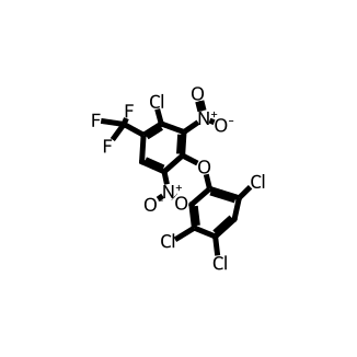 O=[N+]([O-])c1cc(C(F)(F)F)c(Cl)c([N+](=O)[O-])c1Oc1cc(Cl)c(Cl)cc1Cl